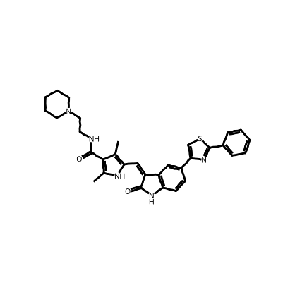 Cc1[nH]c(/C=C2\C(=O)Nc3ccc(-c4csc(-c5ccccc5)n4)cc32)c(C)c1C(=O)NCCN1CCCCC1